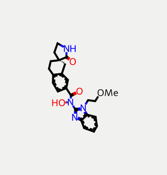 COCCn1c(N(O)C(=O)c2ccc3c(c2)C[C@@]2(CCNC2=O)CC3)nc2ccccc21